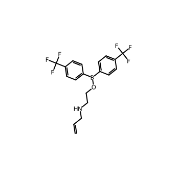 C=CCNCCOB(c1ccc(C(F)(F)F)cc1)c1ccc(C(F)(F)F)cc1